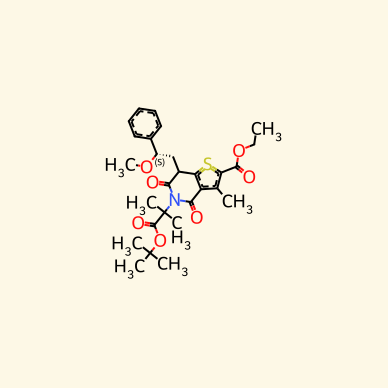 CCOC(=O)c1sc2c(c1C)C(=O)N(C(C)(C)C(=O)OC(C)(C)C)C(=O)C2C[C@H](OC)c1ccccc1